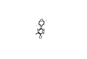 Cc1nc(N2C[C@@H](C)OC[C@H]2C)nnc1Cl